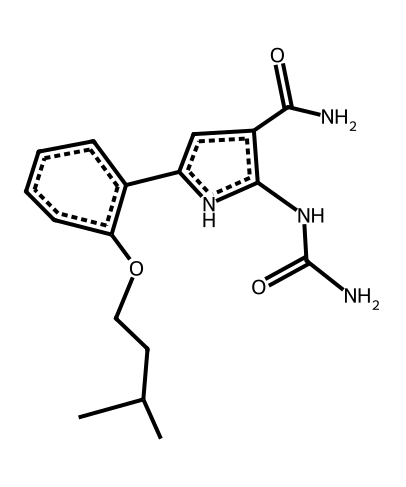 CC(C)CCOc1ccccc1-c1cc(C(N)=O)c(NC(N)=O)[nH]1